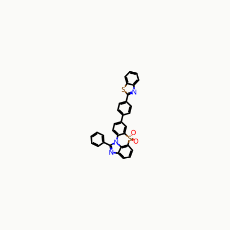 O=S1(=O)c2cc(-c3ccc(-c4nc5ccccc5s4)cc3)ccc2-n2c(-c3ccccc3)nc3cccc1c32